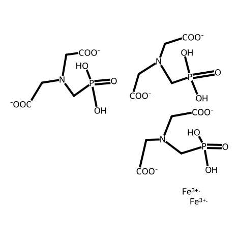 O=C([O-])CN(CC(=O)[O-])CP(=O)(O)O.O=C([O-])CN(CC(=O)[O-])CP(=O)(O)O.O=C([O-])CN(CC(=O)[O-])CP(=O)(O)O.[Fe+3].[Fe+3]